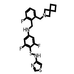 Fc1cccc(CN2CC3(CCC3)C2)c1CNc1cc(F)c(SNc2cscn2)c(F)c1